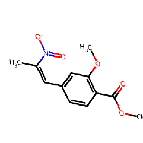 COC(=O)c1ccc(C=C(C)[N+](=O)[O-])cc1OC